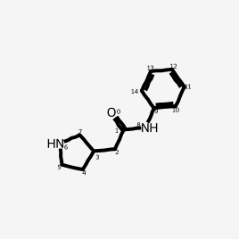 O=C(CC1CCNC1)Nc1ccccc1